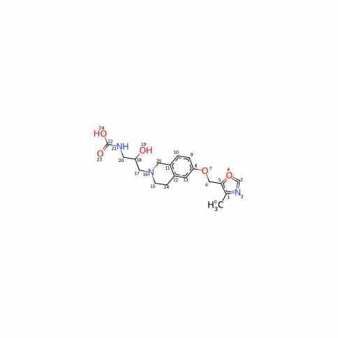 Cc1ncoc1COc1ccc2c(c1)CCN(CC(O)CNC(=O)O)C2